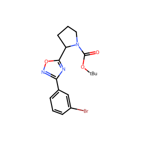 CC(C)(C)OC(=O)N1CCCC1c1nc(-c2cccc(Br)c2)no1